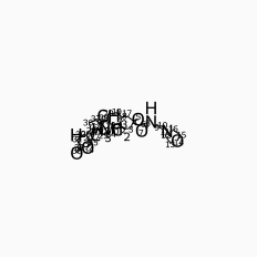 CC12CCC(OC(=O)NCCN3CCOCC3)CC1CCC1(N)C2CCC2(C)C(c3ccc(=O)oc3)CCC21C